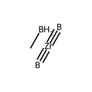 BC.[B]#[Zr]#[B]